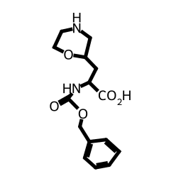 O=C(NC(CC1CNCCO1)C(=O)O)OCc1ccccc1